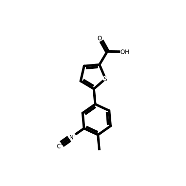 [C-]#[N+]c1cc(-c2ccc(C(=O)O)s2)ccc1C